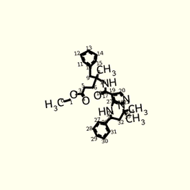 CCOC(=O)CCC(C)(Cc1ccccc1)NC(=O)c1cnn2c1NC(c1ccccc1)CC2(C)C